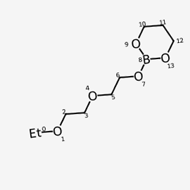 CCOCCOCCOB1OCCCO1